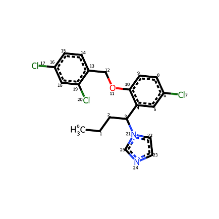 CCCC(c1cc(Cl)ccc1OCc1ccc(Cl)cc1Cl)n1ccnc1